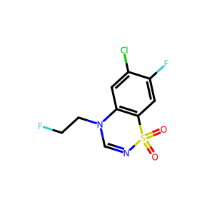 O=S1(=O)N=CN(CCF)c2cc(Cl)c(F)cc21